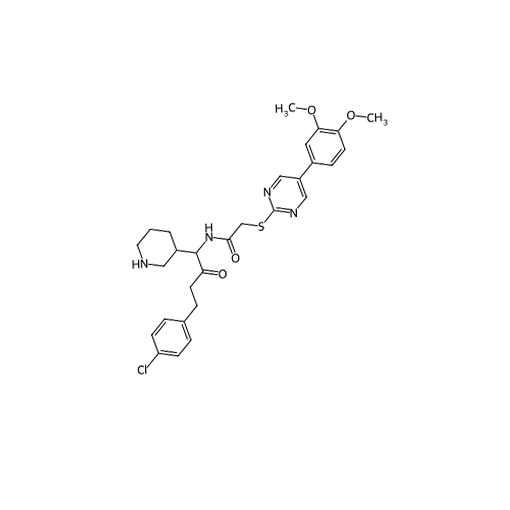 COc1ccc(-c2cnc(SCC(=O)NC(C(=O)CCc3ccc(Cl)cc3)C3CCCNC3)nc2)cc1OC